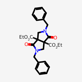 CCOC(=O)C12CN(Cc3ccccc3)C(=O)C1(C(=O)OCC)CN(Cc1ccccc1)C2=O